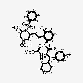 COC(=O)N[C@H](C(=O)Nc1cccc(F)c1CCC1CN(C(=O)O)CC(C)N1S(=O)(=O)c1ccccc1)[C@@H](c1ccc(F)cc1)C1CCOCC1